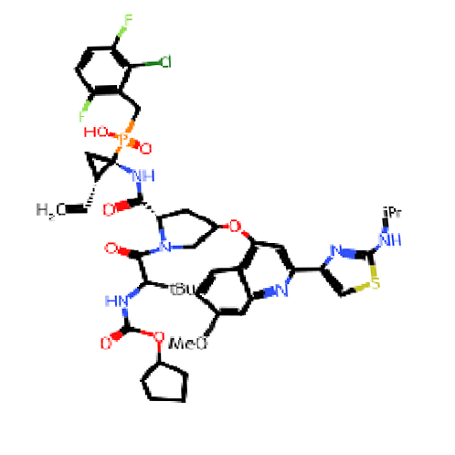 C=C[C@@H]1C[C@]1(NC(=O)[C@@H]1C[C@@H](Oc2cc(-c3csc(NC(C)C)n3)nc3cc(OC)ccc23)CN1C(=O)C(NC(=O)OC1CCCC1)C(C)(C)C)P(=O)(O)Cc1c(F)ccc(F)c1Cl